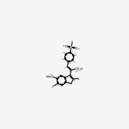 COc1cc2c(cc1F)CC(C)=C2C(=Cc1ccc(S(C)(=O)=O)cc1)C(=O)O